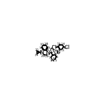 O=C(c1cnccc1OOc1cc(Cl)ccc1Cl)N1CCN(C2CC2)c2ccccc21